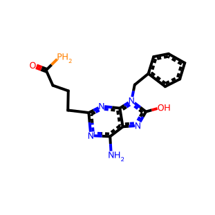 Nc1nc(CCCC(=O)P)nc2c1nc(O)n2Cc1ccccc1